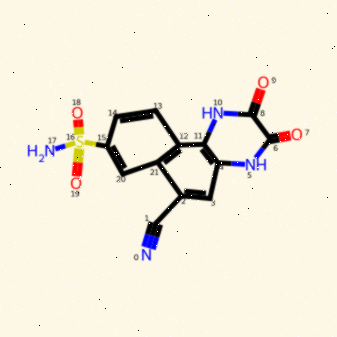 N#Cc1cc2[nH]c(=O)c(=O)[nH]c2c2ccc(S(N)(=O)=O)cc12